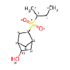 CCC(C)S(=O)(=O)C1CC2CC1CC2O